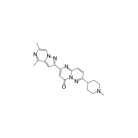 Cc1cn2nc(-c3cc(=O)n4nc(C5CCN(C)CC5)ccc4n3)cc2c(C)n1